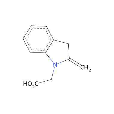 C=C1Cc2ccccc2N1CC(=O)O